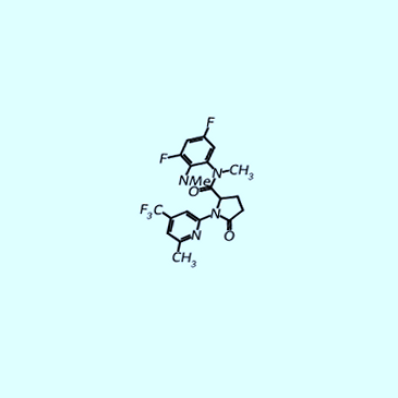 CNc1c(F)cc(F)cc1N(C)C(=O)C1CCC(=O)N1c1cc(C(F)(F)F)cc(C)n1